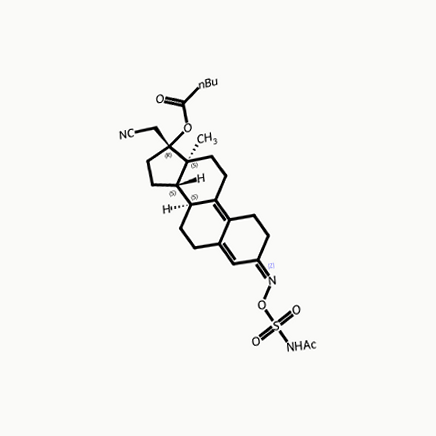 CCCCC(=O)O[C@@]1(CC#N)CC[C@H]2[C@@H]3CCC4=C/C(=N\OS(=O)(=O)NC(C)=O)CCC4=C3CC[C@@]21C